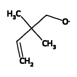 C=CC(C)(C)C[O]